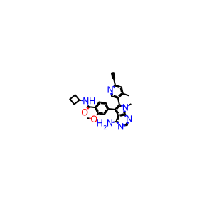 C#Cc1cc(C)c(-c2c(-c3ccc(C(=O)NC4CCC4)c(OC)c3)c3c(N)ncnc3n2C)cn1